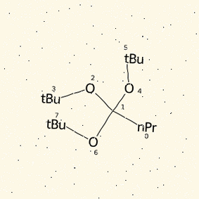 CCCC(OC(C)(C)C)(OC(C)(C)C)OC(C)(C)C